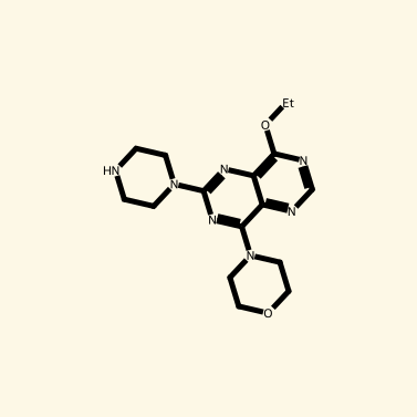 CCOc1ncnc2c(N3CCOCC3)nc(N3CCNCC3)nc12